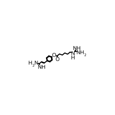 N=C(N)/C=C/c1ccc(OC(=O)CCCCCNC(=N)N)cc1